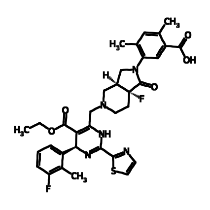 CCOC(=O)C1=C(CN2CC[C@]3(F)C(=O)N(c4cc(C(=O)O)c(C)cc4C)C[C@@H]3C2)NC(c2nccs2)=N[C@H]1c1cccc(F)c1C